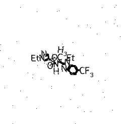 CCn1cc(S(=O)(=O)N[C@H](C)c2nc3ccc(C(F)(F)F)cc3n2CC)cn1